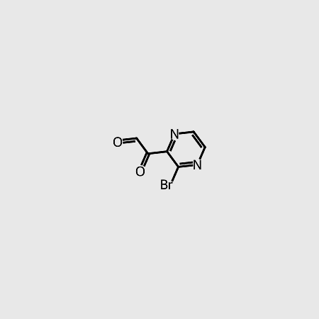 O=CC(=O)c1nccnc1Br